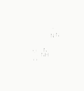 CC(C)(C)OC(=O)NN1CCC(n2c[c]cn2)CC1